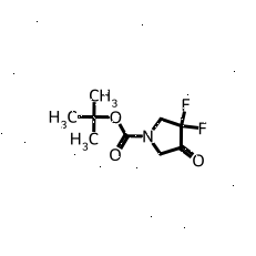 CC(C)(C)OC(=O)N1CC(=O)C(F)(F)C1